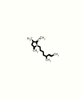 C=C=C1C(C)CC(=C)N1CCCCC(C)/C=C/C